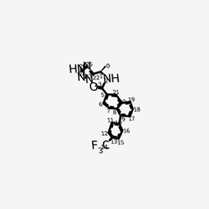 C[C@@H](NC(=O)c1ccc2c(-c3ccc(C(F)(F)F)cc3)cccc2c1)c1nn[nH]n1